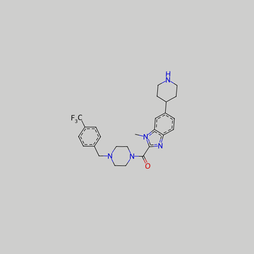 Cn1c(C(=O)N2CCN(Cc3ccc(C(F)(F)F)cc3)CC2)nc2ccc(C3CCNCC3)cc21